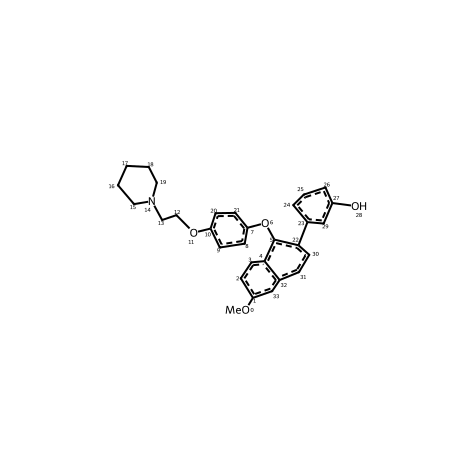 COc1ccc2c(Oc3ccc(OCCN4CCCCC4)cc3)c(-c3cccc(O)c3)ccc2c1